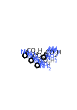 N.N.N.N.NC1(N)CCCCC1CC(=O)O.NC1(N)CCCCC1CC(=O)O.NC1(N)CCCCC1CC(=O)O.NC1(N)CCCCC1CC(=O)O